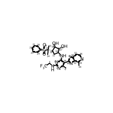 Cc1nc(NCC(F)(F)F)nc(NC2C[C@H](C(C)(C)S(=O)(=O)c3ccccc3)[C@@H](O)[C@H]2O)c1-c1nc2c(C)nccc2s1